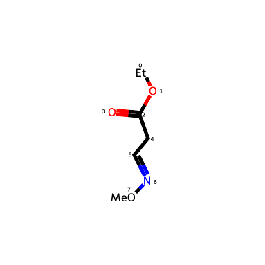 CCOC(=O)CC=NOC